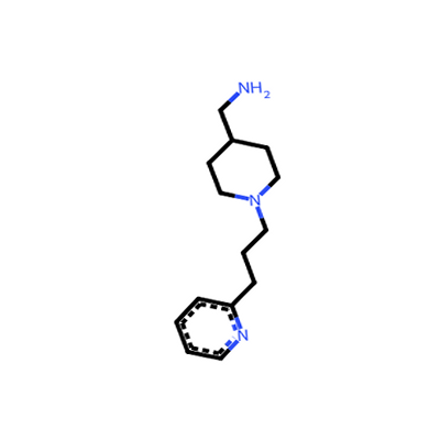 NCC1CCN(CCCc2ccccn2)CC1